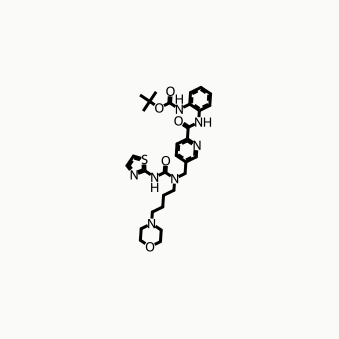 CC(C)(C)OC(=O)Nc1ccccc1NC(=O)c1ccc(CN(CCCCN2CCOCC2)C(=O)Nc2nccs2)cn1